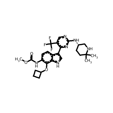 COC(=O)Nc1ccc2c(-c3nc(N[C@H]4CCC(C)(C)NC4)ncc3C(F)(F)F)c[nH]c2c1OC1CCC1